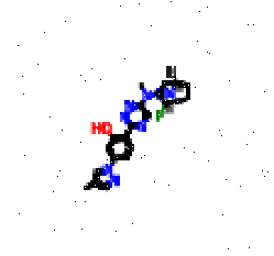 Cc1cnn(-c2ccc(-c3ncc(N(C)[C@H]4C[C@@H]5CCC(N5)[C@H]4F)nn3)c(O)c2)c1